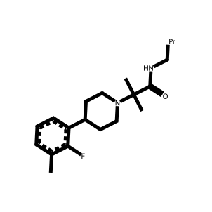 Cc1cccc(C2CCN(C(C)(C)C(=O)NCC(C)C)CC2)c1F